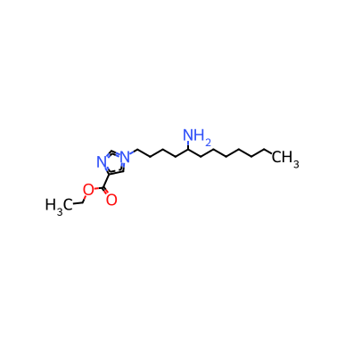 CCCCCCCC(N)CCCCn1cnc(C(=O)OCC)c1